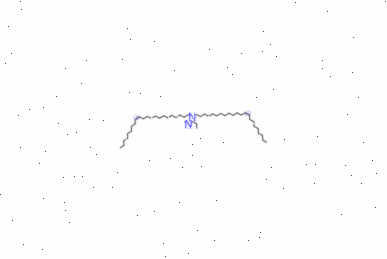 CCCCCCCC/C=C\CCCCCCCCCCCCN(CCCCCCCCCCCC/C=C\CCCCCCCC)C(CC)N(C)C